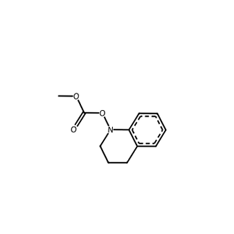 COC(=O)ON1CCCc2ccccc21